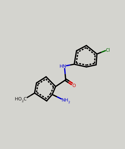 Nc1cc(C(=O)O)ccc1C(=O)Nc1ccc(Cl)cc1